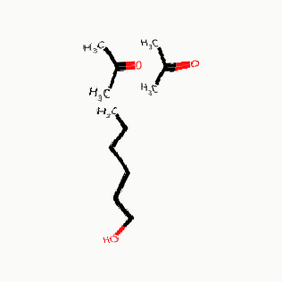 CC(C)=O.CC(C)=O.CCCCCCO